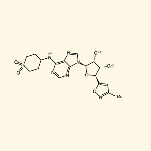 CC(C)(C)c1cc([C@H]2O[C@@H](n3cnc4c(NC5CCS(=O)(=O)CC5)ncnc43)[C@H](O)[C@@H]2O)on1